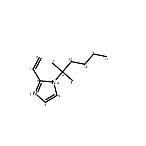 C=Cc1nccn1C(C)(C)CCCC